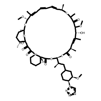 COC1C(=O)C(C)C[C@H](C)/C=C/C=C/C=C(\C)[C@@H](OC)C[C@@H]2CC[C@@H](C)[C@@](O)(O2)C(=O)C(=O)N2CCCC[C@H]2C(=O)O[C@H]([C@H](C)CC2CC[C@H](n3cnnn3)[C@H](OC)C2)CC(=O)[C@H](C)/C=C(\C)[C@H]1O